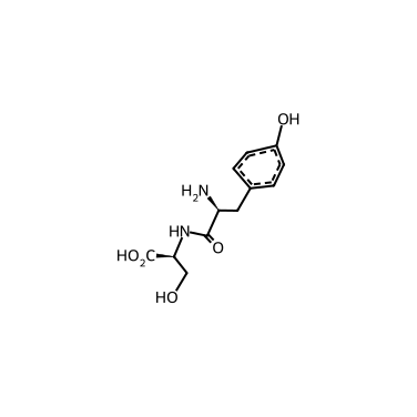 N[C@@H](Cc1ccc(O)cc1)C(=O)N[C@@H](CO)C(=O)O